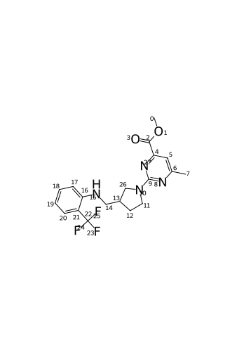 COC(=O)c1cc(C)nc(N2CCC(CNc3ccccc3C(F)(F)F)C2)n1